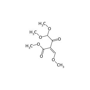 COC=C(C(=O)OC)C(=O)C(OC)OC